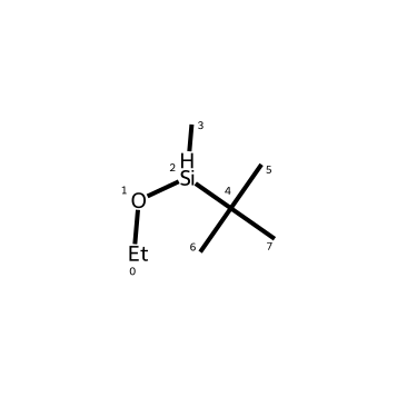 [CH2]CO[SiH](C)C(C)(C)C